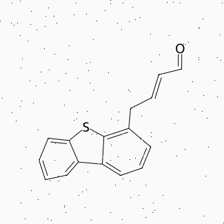 O=C/C=C/Cc1cccc2c1sc1ccccc12